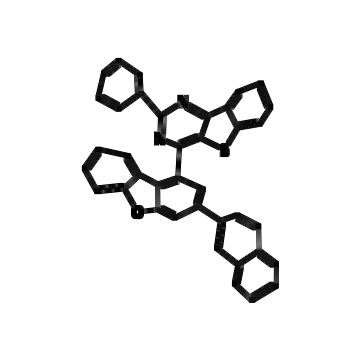 c1ccc(-c2nc(-c3cc(-c4ccc5ccccc5c4)cc4oc5ccccc5c34)c3sc4ccccc4c3n2)cc1